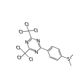 C[S+](C)c1ccc(-c2nc(C(Cl)(Cl)Cl)nc(C(Cl)(Cl)Cl)n2)cc1